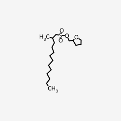 CCCCCCCCCCCC(C)CS(=O)(=O)OCC1CCCO1